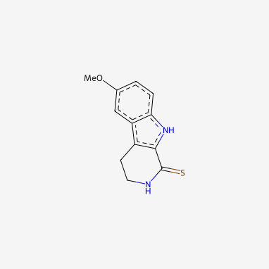 COc1ccc2[nH]c3c(c2c1)CCNC3=S